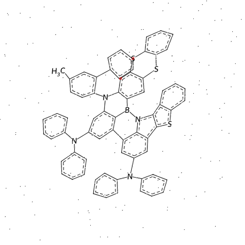 Cc1ccc(N2c3cc4c(cc3B3c5c(cc(N(c6ccccc6)c6ccccc6)cc52)-c2cc(N(c5ccccc5)c5ccccc5)cc5c6sc7ccccc7c6n3c25)Sc2ccccc2S4)c(-c2ccccc2)c1